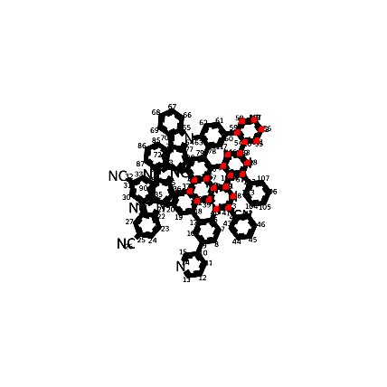 C=C1CC(C#N)N(c2ccc(-c3cccnc3)cc2-c2cc(-n3c4ccc(C#N)cc4c4cc(C#N)ccc43)ccc2-c2nc(-c3ccccc3)nc(-c3ccc(-c4ccncc4-c4ccc(-n5c6ccccc6c6cc(C#N)ccc65)c(-c5cc(-n6c7ccccc7c7cc(C#N)ccc76)ccc5-c5nc(-c6ccccc6)nc(-c6ccccc6)n5)c4)cc3)n2)c2ccc(C#N)cc21